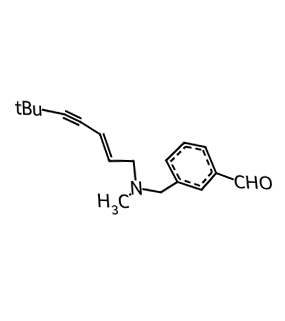 CN(CC=CC#CC(C)(C)C)Cc1cccc(C=O)c1